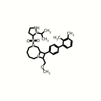 COCC1C(c2ccc(-c3cccc(C)c3C)cc2)C2CN(S(=O)(=O)C3CCNN3C(C)C)CCCCN12